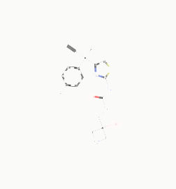 C#C[C@@](C)(c1ccc(Cl)cc1)c1csc(NC(=O)NCC2(O)CNC2)n1